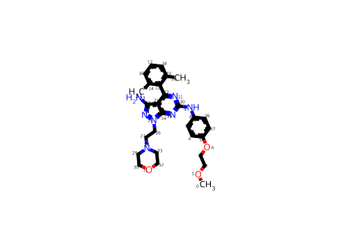 COCCOc1ccc(Nc2nc(-c3c(C)cccc3C)c3c(N)nn(CCN4CCOCC4)c3n2)cc1